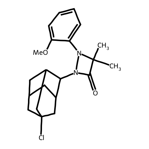 COc1ccccc1N1N(C2C3CC4CC2CC(Cl)(C4)C3)C(=O)C1(C)C